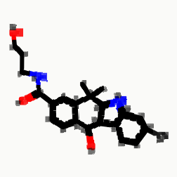 CC1(C)c2cc(C(=O)NCCCO)ccc2C(=O)c2c1[nH]c1cc(C#N)ccc21